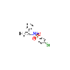 C[C@@H](CNS(=O)(=O)c1ccc(Br)cc1)c1ccccc1